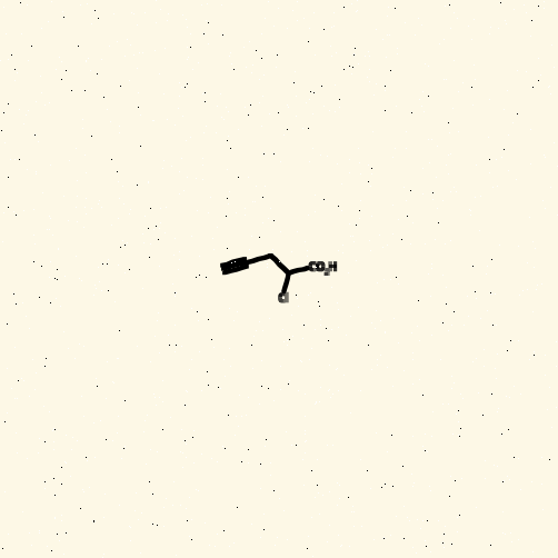 C#CCC(Cl)C(=O)O